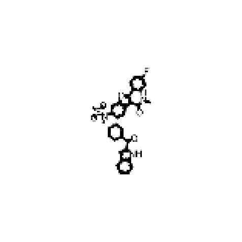 CNC(=O)c1c(-c2ccc(F)cc2)oc2cc(N(C)S(C)(=O)=O)c([C@H]3CCCC(C(=O)c4cc5ccccc5[nH]4)C3)cc12